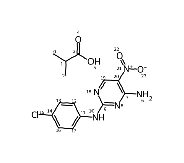 CC(C)C(=O)O.Nc1nc(Nc2ccc(Cl)cc2)ncc1[N+](=O)[O-]